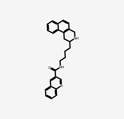 O=C(NCCCCC1Cc2c(ccc3ccccc23)CN1)c1cnc2ccccc2c1